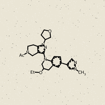 CCOC1Cc2cc(-c3cnn(C)c3)ccc2N(c2nn(C3CCOC3)c3c2CN(C(C)=O)CC3)C1